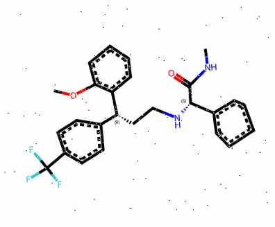 CNC(=O)[C@@H](NCC[C@H](c1ccc(C(F)(F)F)cc1)c1ccccc1OC)c1ccccc1